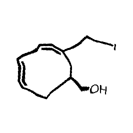 OC1CC=CC=C1CI